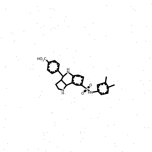 Cc1ccc(NS(=O)(=O)c2ccc3c(c2)C2NCCC2C(c2ccc(C(=O)O)cc2)N3)cc1C